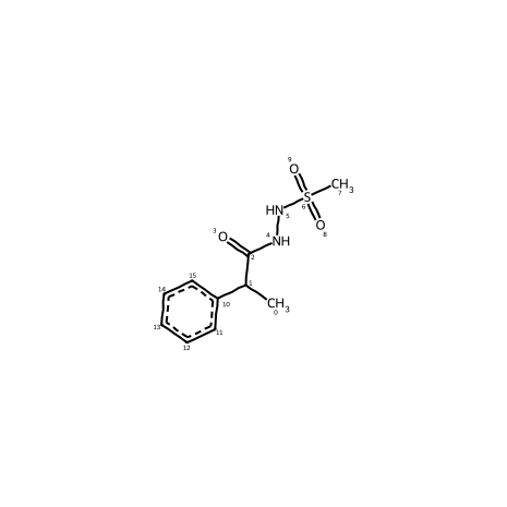 CC(C(=O)NNS(C)(=O)=O)c1ccccc1